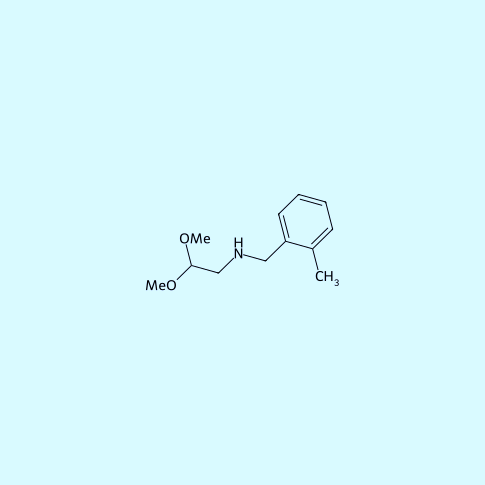 COC(CNCc1ccccc1C)OC